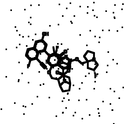 C#Cc1c(F)ccc2cc(O)cc(-c3nc4c5c(nc(OC[C@@]67CCCN6C[C@H](F)C7)nc5c3F)N3CC5CCC(C3CO4)N5C(=O)OC(C)OC(=O)C(C)C)c12